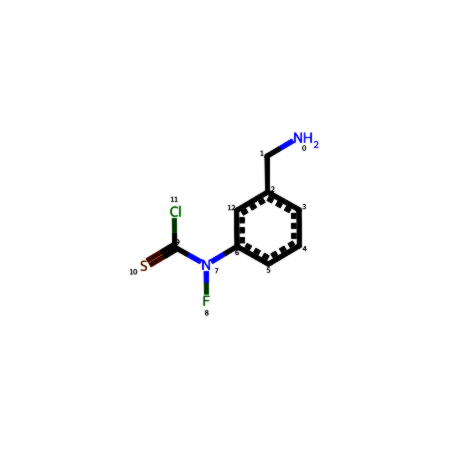 NCc1cccc(N(F)C(=S)Cl)c1